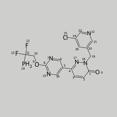 O=c1ccc(-c2cnc(OCC(F)(F)P)nc2)nn1Cc1cncc(Cl)c1